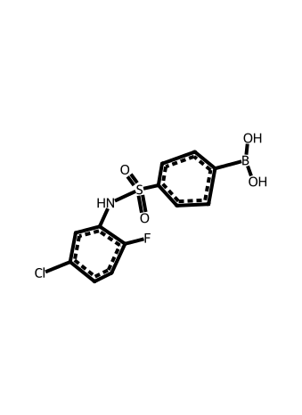 O=S(=O)(Nc1cc(Cl)ccc1F)c1ccc(B(O)O)cc1